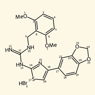 Br.COc1cccc(OC)c1CNC(=N)Nc1nc(-c2ccc3c(c2)OCO3)cs1